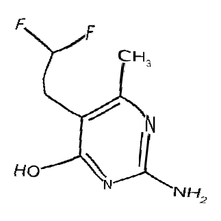 Cc1nc(N)nc(O)c1CC(F)F